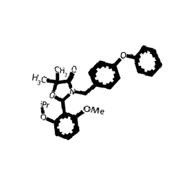 COc1cccc(OC(C)C)c1C1OC(C)(C)C(=O)N1Cc1ccc(Oc2ccccc2)cc1